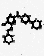 Clc1cnc(Nc2ccc(N3CCOCC3)cc2)nc1OCC1CCCCC1